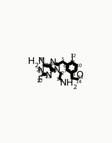 NCCn1c(Cc2cc3c(cc2I)OCC3)nc2c(N)nc(F)nc21